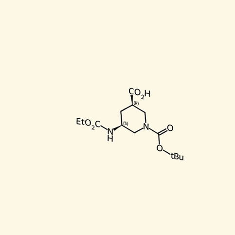 CCOC(=O)N[C@H]1C[C@@H](C(=O)O)CN(C(=O)OC(C)(C)C)C1